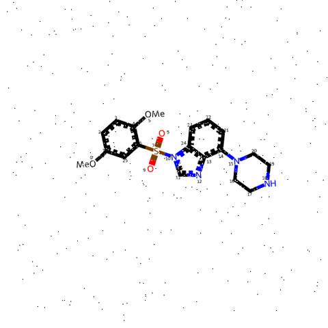 COc1ccc(OC)c(S(=O)(=O)n2cnc3c(N4CCNCC4)cccc32)c1